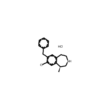 C[C@@H]1CNCCc2cc(Cc3ccccc3)c(Cl)cc21.Cl